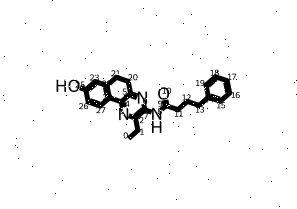 CCc1nc2c(nc1NC(=O)CCCc1ccccc1)CCc1cc(O)ccc1-2